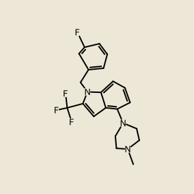 CN1CCN(c2cccc3c2cc(C(F)(F)F)n3Cc2cccc(F)c2)CC1